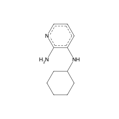 Nc1ncccc1NC1CCCCC1